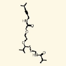 CC(C)C#CCNC(=O)COCCOC(SSCNC(=O)C(C)C)C(C)C